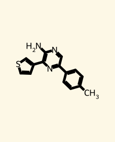 Cc1ccc(-c2cnc(N)c(-c3ccsc3)n2)cc1